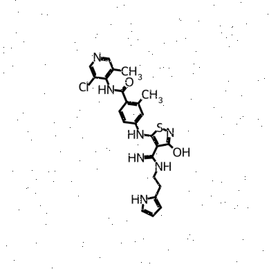 Cc1cc(Nc2snc(O)c2C(=N)NCCc2ccc[nH]2)ccc1C(=O)Nc1c(C)cncc1Cl